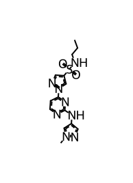 CCCNS(=O)(=O)c1cnn(-c2ccnc(Nc3cnn(C)c3)n2)c1